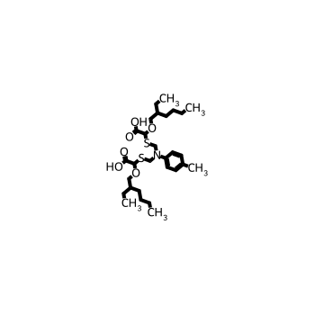 CCCCC(CC)COC(SCN(CSC(OCC(CC)CCCC)C(=O)O)c1ccc(C)cc1)C(=O)O